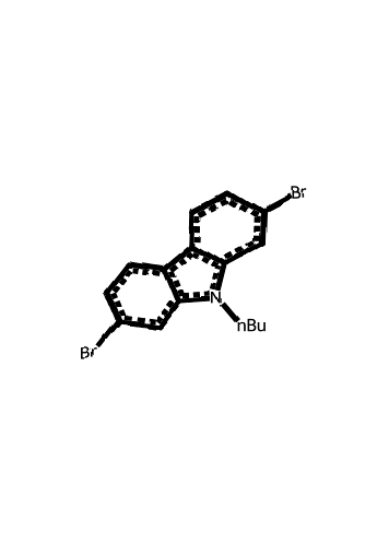 CCCCn1c2cc(Br)ccc2c2ccc(Br)cc21